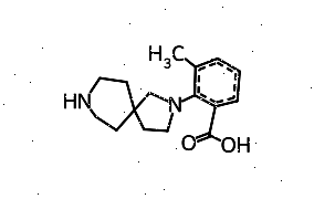 Cc1cccc(C(=O)O)c1N1CCC2(CCNCC2)C1